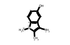 Cc1c(N)c2cc(O)ccc2n1C